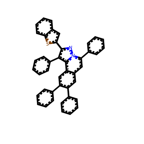 c1ccc(-c2cc3cc(-c4ccccc4)n4nc(-c5cc6ccccc6s5)c(-c5ccccc5)c4c3cc2-c2ccccc2)cc1